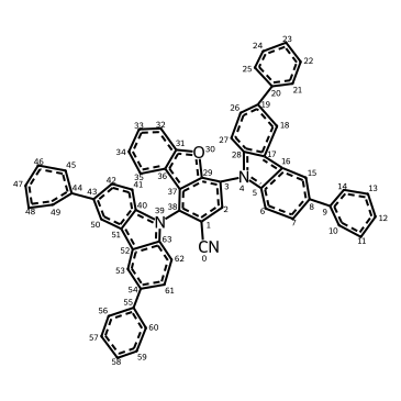 N#Cc1cc(-n2c3ccc(-c4ccccc4)cc3c3cc(-c4ccccc4)ccc32)c2oc3ccccc3c2c1-n1c2ccc(-c3ccccc3)cc2c2cc(-c3ccccc3)ccc21